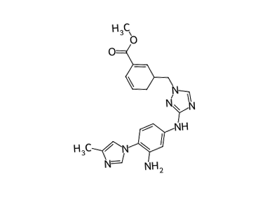 COC(=O)C1=CC(Cn2cnc(Nc3ccc(-n4cnc(C)c4)c(N)c3)n2)CC=C1